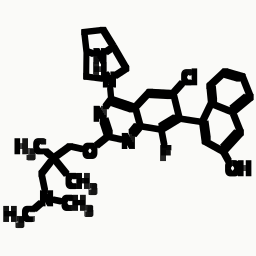 CN(C)CC(C)(C)COc1nc(N2CC3CCC(C2)N3)c2cc(Cl)c(-c3cc(O)cc4ccccc34)c(F)c2n1